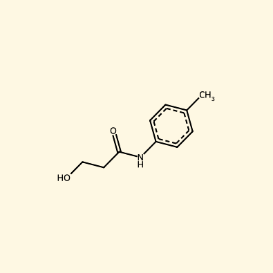 Cc1ccc(NC(=O)CCO)cc1